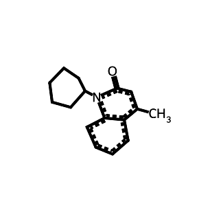 Cc1cc(=O)n(C2CCCCC2)c2ccccc12